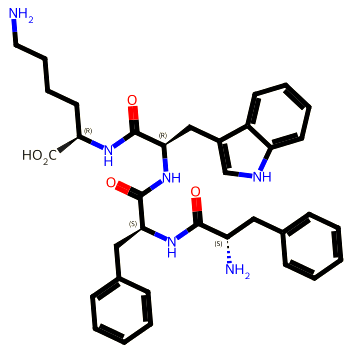 NCCCC[C@@H](NC(=O)[C@@H](Cc1c[nH]c2ccccc12)NC(=O)[C@H](Cc1ccccc1)NC(=O)[C@@H](N)Cc1ccccc1)C(=O)O